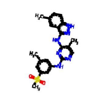 Cc1cc(Nc2ncc(C)c(Nc3n[nH]c4ccc(C)cc34)n2)cc(S(C)(=O)=O)c1